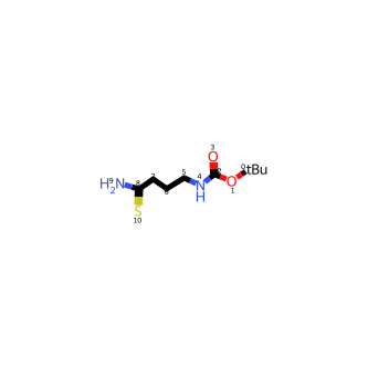 CC(C)(C)OC(=O)NCCCC(N)=S